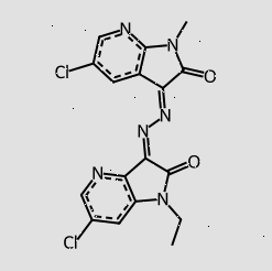 CCN1C(=O)/C(=N\N=C2\C(=O)N(C)c3ncc(Cl)cc32)c2ncc(Cl)cc21